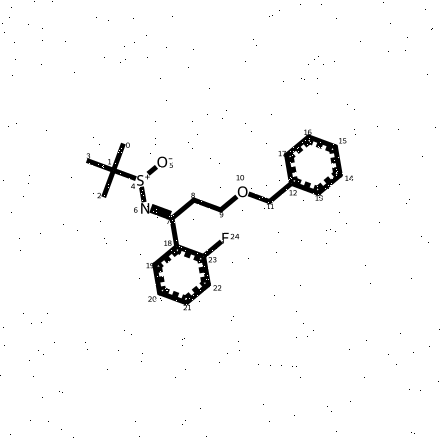 CC(C)(C)[S+]([O-])/N=C(\CCOCc1ccccc1)c1ccccc1F